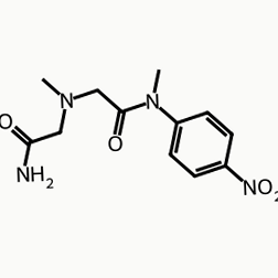 CN(CC(N)=O)CC(=O)N(C)c1ccc([N+](=O)[O-])cc1